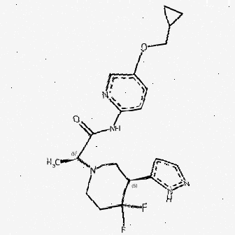 C[C@@H](C(=O)Nc1ccc(OCC2CC2)cn1)N1CCC(F)(F)[C@H](c2ccn[nH]2)C1